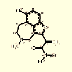 C=C(C(=O)N(CC)CC)c1oc2ccc(Cl)c3c2c1CN(C)CC3